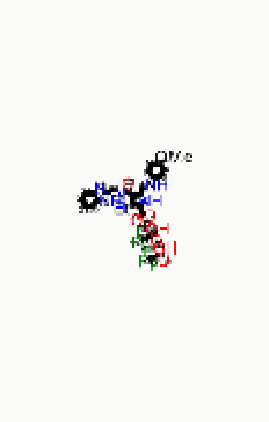 CCc1c(C(=O)OC(C)(C)C)[nH]c(CNc2ccc(OC)cc2)c1C(=O)NCc1nc2ccccc2[nH]1.O=C(O)C(F)(F)F.O=C(O)C(F)(F)F